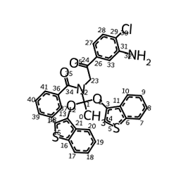 CC(Oc1csc2ccccc12)(Oc1csc2ccccc12)N(CC(=O)c1ccc(Cl)c(N)c1)C(=O)c1ccccc1